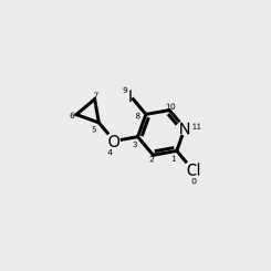 Clc1cc(OC2CC2)c(I)cn1